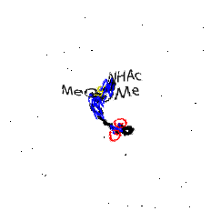 COc1nc(N2CCN(CCCCCN3C(=O)c4ccccc4C3=O)CC2)nc(OC)c1Sc1nccc(NC(C)=O)n1